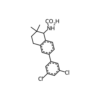 CC1(C)CCc2cc(-c3cc(Cl)cc(Cl)c3)ccc2C1NC(=O)O